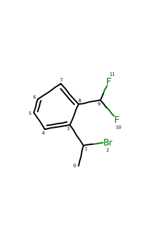 CC(Br)c1ccccc1C(F)F